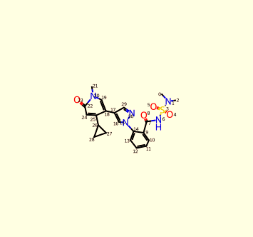 CN(C)S(=O)(=O)NC(=O)c1ccccc1-n1cc(-c2cn(C)c(=O)cc2C2CC2)cn1